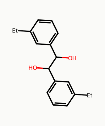 CCc1cccc(C(O)C(O)c2cccc(CC)c2)c1